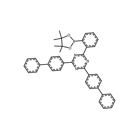 CC1(C)OB(c2ccccc2-c2nc(-c3ccc(-c4ccccc4)cc3)nc(-c3ccc(-c4ccccc4)cc3)n2)OC1(C)C